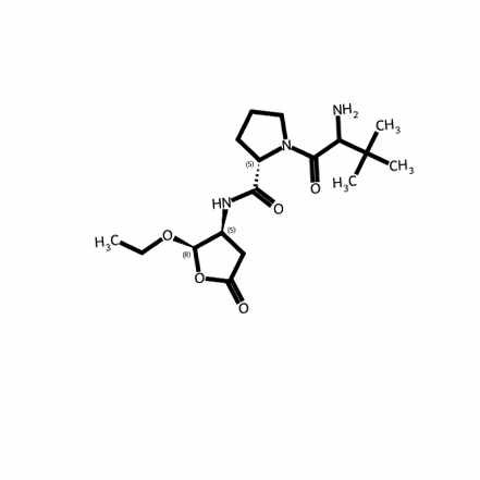 CCO[C@@H]1OC(=O)C[C@@H]1NC(=O)[C@@H]1CCCN1C(=O)C(N)C(C)(C)C